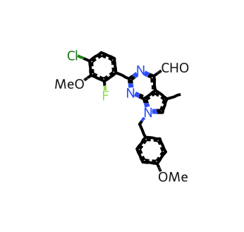 COc1ccc(Cn2cc(C)c3c(C=O)nc(-c4ccc(Cl)c(OC)c4F)nc32)cc1